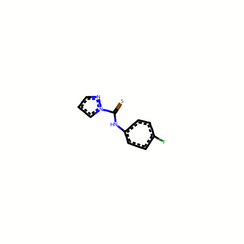 Fc1ccc(NC(=S)n2cccn2)cc1